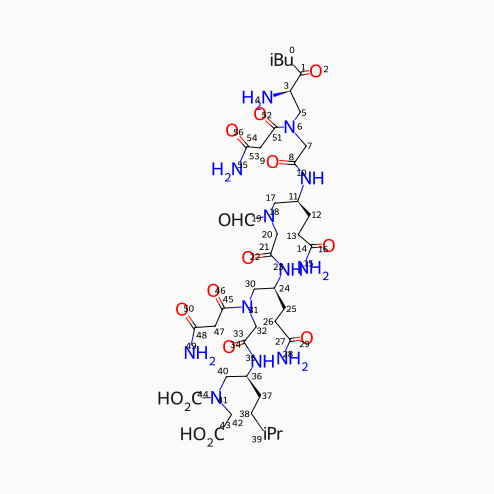 CCC(C)C(=O)[C@H](N)CN(CC(=O)N[C@@H](CCC(N)=O)CN(C=O)CC(=O)N[C@@H](CCC(N)=O)CN(CC(=O)N[C@@H](CCC(C)C)CN(CC(=O)O)C(=O)O)C(=O)CC(N)=O)C(=O)CC(N)=O